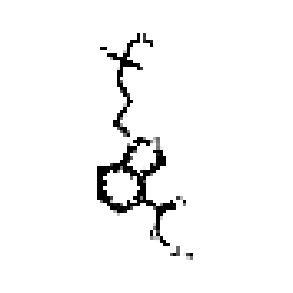 COC(=O)c1cccc2c1cnn2CCCC(C)(F)F